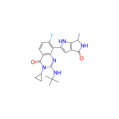 CC1NC(=O)c2cc(-c3c(F)ccc4c(=O)n(C5CC5)c(NC(C)(C)C)nc34)[nH]c21